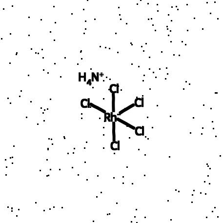 [Cl][Rh-]([Cl])([Cl])([Cl])[Cl].[NH4+]